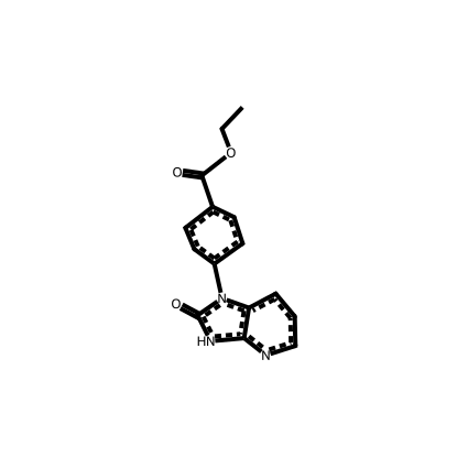 CCOC(=O)c1ccc(-n2c(=O)[nH]c3ncccc32)cc1